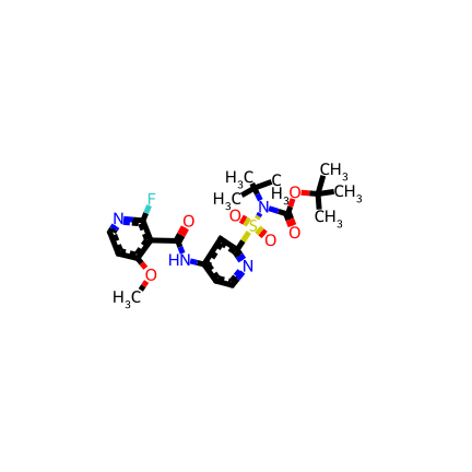 COc1ccnc(F)c1C(=O)Nc1ccnc(S(=O)(=O)N(C(=O)OC(C)(C)C)C(C)(C)C)c1